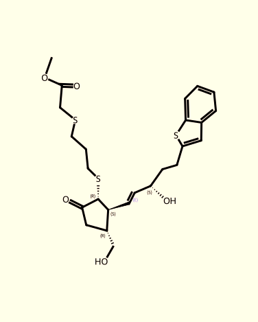 COC(=O)CSCCCS[C@H]1C(=O)C[C@@H](CO)[C@@H]1/C=C/[C@@H](O)CCc1cc2ccccc2s1